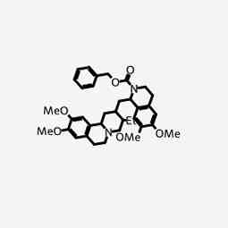 CCC1CN2CCc3cc(OC)c(OC)cc3C2CC1CC1c2cc(OC)c(OC)cc2CCN1C(=O)OCc1ccccc1